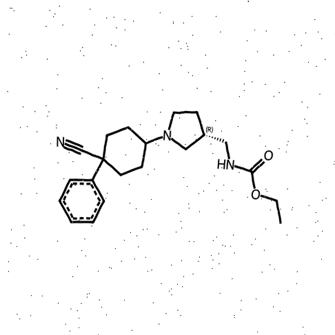 CCOC(=O)NC[C@H]1CCN(C2CCC(C#N)(c3ccccc3)CC2)C1